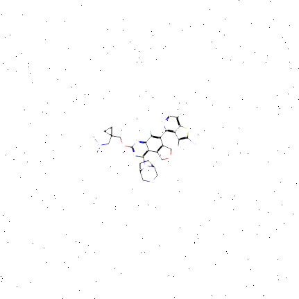 CN(C)CC1(COc2nc(N3C4CCC3CNC4)c3c4c(c(-c5ncc(F)c6sc(N)c(C#N)c56)c(F)c3n2)COC4)CC1